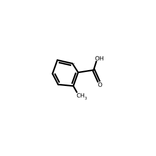 Cc1ccc[c]c1C(=O)O